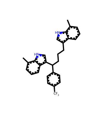 Cc1cccc2c(CCCC(c3ccc(C(F)(F)F)cc3)c3c[nH]c4c(C)cccc34)c[nH]c12